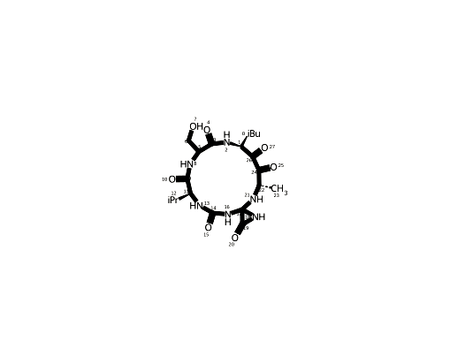 CC[C@H](C)[C@@H]1NC(=O)C(CO)NC(=O)[C@H](C(C)C)NC(=O)NC2(NC2=O)N[C@@H](C)C(=O)C1=O